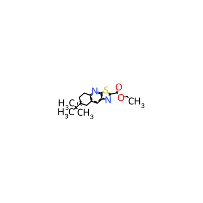 CCOC(=O)c1nc2cc3c(nc2s1)CC[C@H](C(C)(C)C)C3